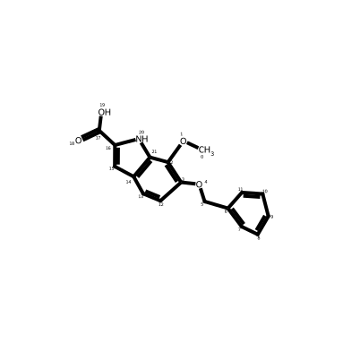 COc1c(OCc2ccccc2)ccc2cc(C(=O)O)[nH]c12